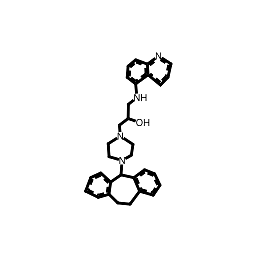 OC(CNc1cccc2ncccc12)CN1CCN(C2c3ccccc3CCc3ccccc32)CC1